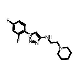 Fc1ccc(-n2cc(NCCN3CCCCC3)nn2)c(F)c1